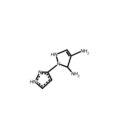 NC1=CNN(c2cc[nH]n2)C1N